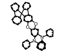 c1ccc(N(c2ccccc2)c2cc3c(cc2N(c2ccccc2)c2ccccc2)Oc2cc4c(cc2O3)-c2ccccc2C42c3ccccc3-c3ccccc32)cc1